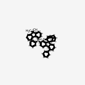 CC1(C)c2ccccc2-c2c(N(c3ccccc3)c3ccc4c(c3)C3(c5cccc(-c6ccccc6)c5-4)C4CC5CC(C4)CC3(C)C5)cccc21